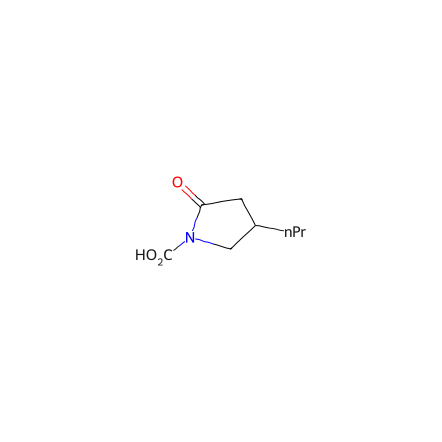 CCCC1CC(=O)N(C(=O)O)C1